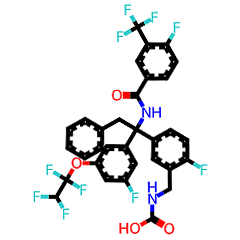 O=C(O)NCc1cc(C(Cc2ccccc2)(NC(=O)c2ccc(F)c(C(F)(F)F)c2)c2cc(F)cc(OC(F)(F)C(F)F)c2)ccc1F